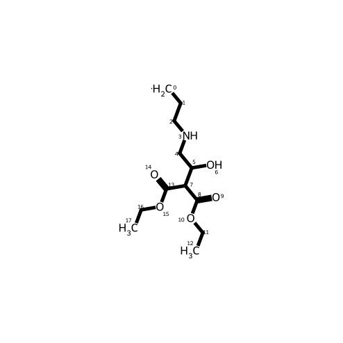 [CH2]CCNCC(O)C(C(=O)OCC)C(=O)OCC